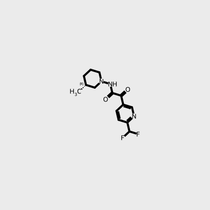 C[C@@H]1CCCN(NC(=O)C(=O)c2ccc(C(F)F)nc2)C1